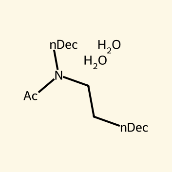 CCCCCCCCCCCCN(CCCCCCCCCC)C(C)=O.O.O